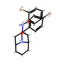 Brc1ccc(CN2C3CCCC2CC(Nc2ccccc2Br)C3)cc1